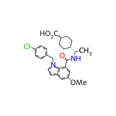 COc1cc(C(=O)NC(C)[C@H]2CC[C@H](C(=O)O)CC2)c2c(ccn2Cc2ccc(Cl)cc2)c1